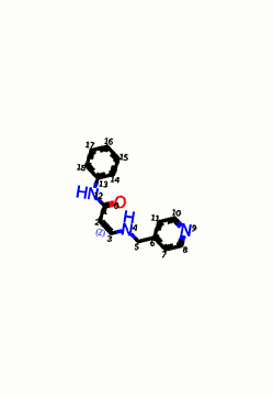 O=C(/C=C\NCc1ccncc1)Nc1ccccc1